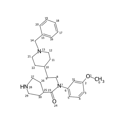 COc1cccc(N(CCC2CCN(Cc3ccccc3)CC2)C(=O)C2CCNCC2)c1